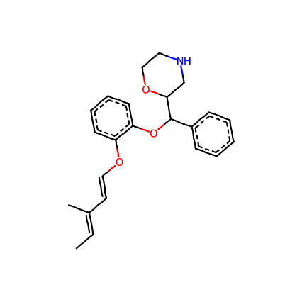 C/C=C(C)/C=C/Oc1ccccc1OC(c1ccccc1)C1CNCCO1